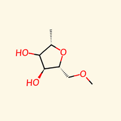 COC[C@H]1O[C@@H](C)C(O)[C@@H]1O